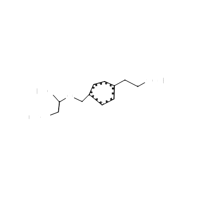 CCCCCCCCCCCC(C)OCc1ccc(CCC(=O)O)cc1